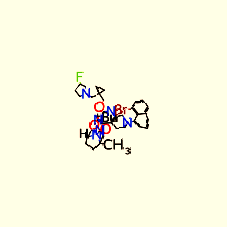 CC(C)(C)OC(=O)N1[C@@H]2CC[C@@]1(C)CN(c1nc(OCC3(CN4CC[C@@H](F)C4)CC3)nc3c1CCN(c1cccc4cccc(Br)c14)C3)C2